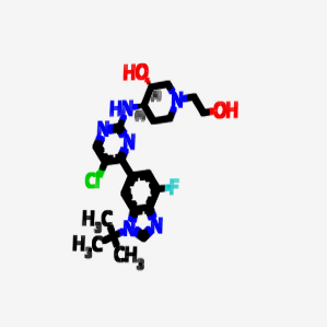 CC(C)(C)n1cnc2c(F)cc(-c3nc(N[C@@H]4CCN(CCO)C[C@H]4O)ncc3Cl)cc21